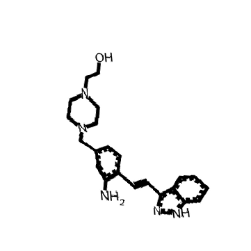 Nc1cc(CN2CCN(CCO)CC2)ccc1/C=C/c1n[nH]c2ccccc12